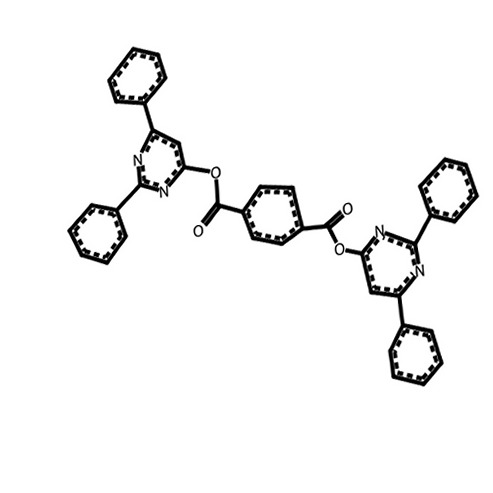 O=C(Oc1cc(-c2ccccc2)nc(-c2ccccc2)n1)c1ccc(C(=O)Oc2cc(-c3ccccc3)nc(-c3ccccc3)n2)cc1